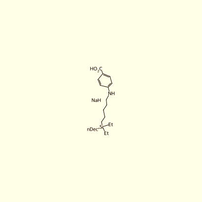 CCCCCCCCCC[Si](CC)(CC)CCCCCNc1ccc(C(=O)O)cc1.[NaH]